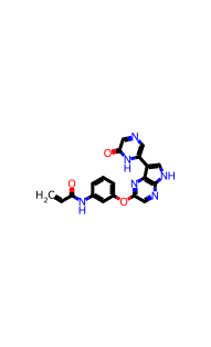 C=CC(=O)Nc1cccc(Oc2cnc3[nH]cc(-c4cncc(=O)[nH]4)c3n2)c1